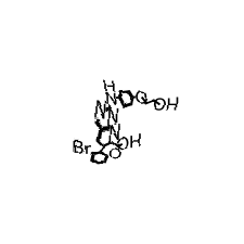 O=C(O)c1nc2nc(Nc3ccc(OCCO)cc3)ncc2cc1-c1ccccc1Br